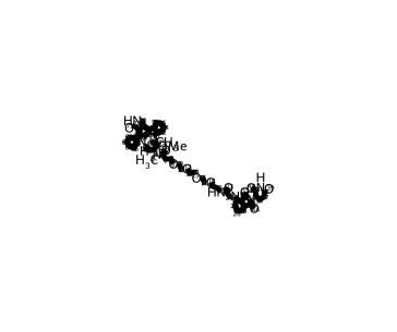 CO[C@@H]1[C@H](N(C)C(=O)CCOCCOCCOCCOCCNC(=O)CNc2cccc3c2C(=O)N(C2CCC(=O)NC2=O)C3=O)C[C@H]2O[C@]1(C)n1c3ccccc3c3c4c(c5c6ccccc6n2c5c31)C(=O)NC4